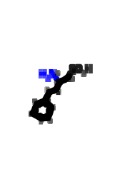 N[C@H](CCc1ccccc1)CS(=O)(=O)O